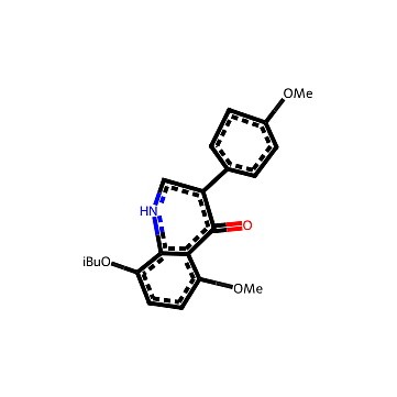 COc1ccc(-c2c[nH]c3c(OCC(C)C)ccc(OC)c3c2=O)cc1